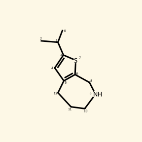 CC(C)c1cc2c(s1)CNCCC2